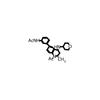 CC(=O)Nc1cccc(-c2ccc3c(c2)[C@H](NC2CCOCC2)C[C@H](C)N3C(C)=O)c1